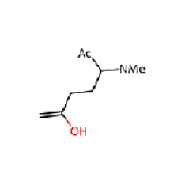 C=C(O)CCC(NC)C(C)=O